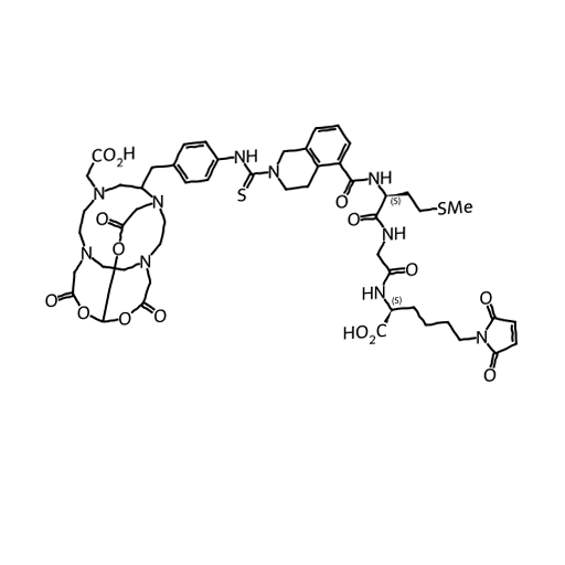 CSCC[C@H](NC(=O)c1cccc2c1CCN(C(=S)Nc1ccc(CC3CN(CC(=O)O)CCN4CCN5CCN3CC(=O)OC(OC(=O)C4)OC(=O)C5)cc1)C2)C(=O)NCC(=O)N[C@@H](CCCCN1C(=O)C=CC1=O)C(=O)O